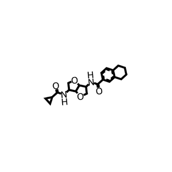 O=C(NC1COC2C(NC(=O)C3CC3)COC12)c1ccc2c(c1)CCCC2